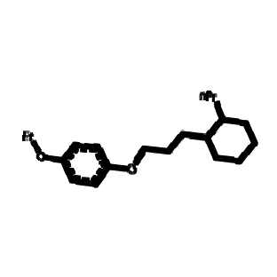 CCCC1CCCCC1CCCOc1ccc(OCC)cc1